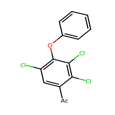 CC(=O)c1cc(Cl)c(Oc2ccccc2)c(Cl)c1Cl